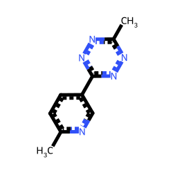 Cc1ccc(-c2nnc(C)nn2)cn1